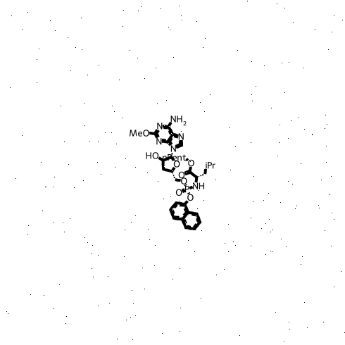 CCCCCOC(=O)[C@H](CC(C)C)NP(=O)(OC[C@@H]1CC(O)[C@H](n2cnc3c(N)nc(OC)nc32)O1)Oc1cccc2ccccc12